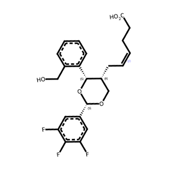 O=C(O)CC/C=C\C[C@@H]1CO[C@H](c2cc(F)c(F)c(F)c2)O[C@@H]1c1ccccc1CO